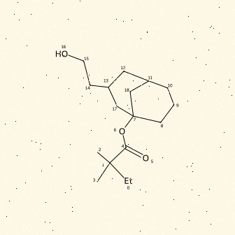 CCC(C)(C)C(=O)OC12CCCC(CC(CCO)C1)C2